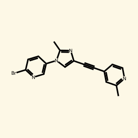 Cc1cc(C#Cc2cn(-c3ccc(Br)nc3)c(C)n2)ccn1